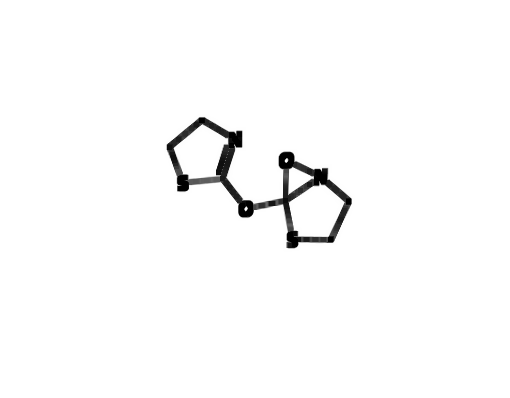 C1CSC(OC23ON2CCS3)=N1